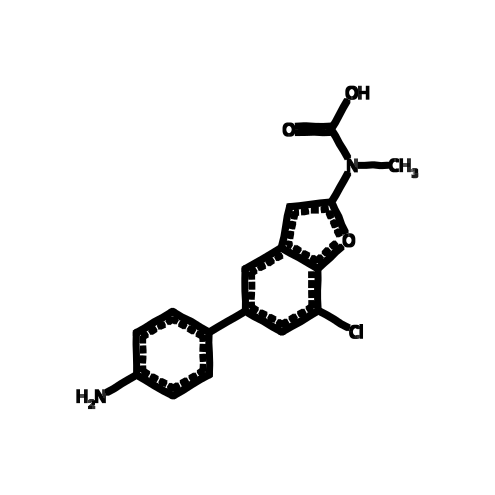 CN(C(=O)O)c1cc2cc(-c3ccc(N)cc3)cc(Cl)c2o1